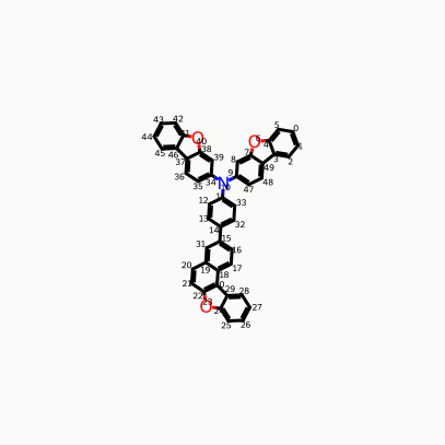 c1ccc2c(c1)oc1cc(N(c3ccc(-c4ccc5c(ccc6oc7ccccc7c65)c4)cc3)c3ccc4c(c3)oc3ccccc34)ccc12